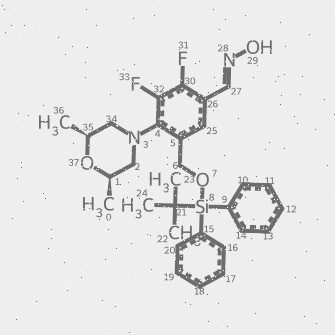 C[C@@H]1CN(c2c(CO[Si](c3ccccc3)(c3ccccc3)C(C)(C)C)cc(/C=N/O)c(F)c2F)C[C@H](C)O1